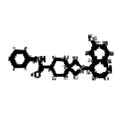 O=C(Nc1ccccc1)C1CCC2(CC1)CN(c1ccnc3ccc(F)cc13)C2